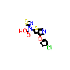 O=C(O)N(c1cscn1)c1cc2c(Oc3ccc(Cl)cc3)cncc2s1